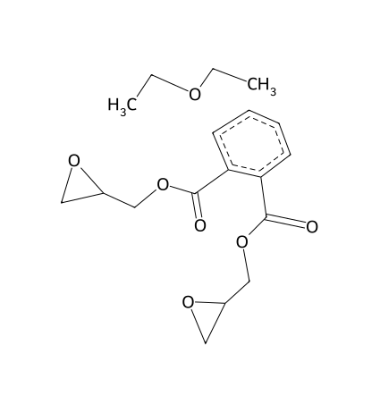 CCOCC.O=C(OCC1CO1)c1ccccc1C(=O)OCC1CO1